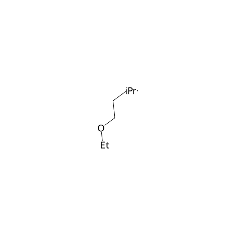 CCOCC[C](C)C